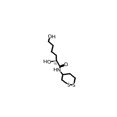 O=C(NC1CCSSC1)[C@@H](O)CCCCO